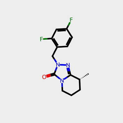 C[C@@H]1CCCn2c1nn(Cc1ccc(F)cc1F)c2=O